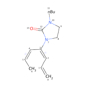 C=C/C=C(\C=C/C)N1CCN(CCCC)C1=O